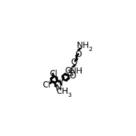 CN1Cc2c(Cl)cc(Cl)cc2[C@H](c2ccc(S(=O)(=O)NCCOCCOCCN)cc2)C1